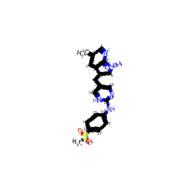 Cc1cnc2[nH]cc(Cc3cnc(Nc4ccc(S(C)(=O)=O)cc4)nc3)c2c1